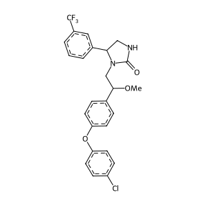 COC(CN1C(=O)NCC1c1cccc(C(F)(F)F)c1)c1ccc(Oc2ccc(Cl)cc2)cc1